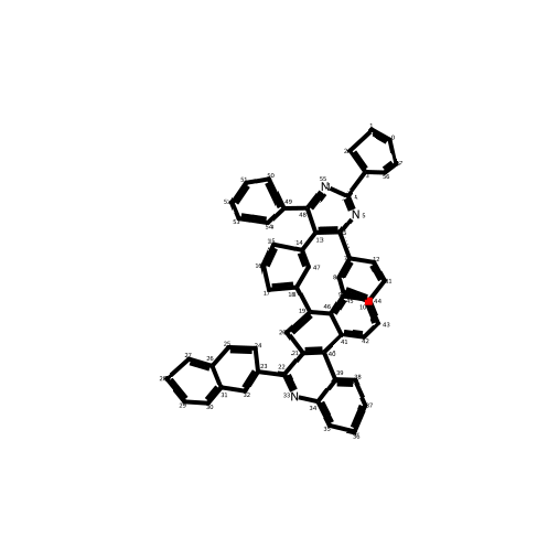 c1ccc(-c2nc(-c3ccccc3)c(-c3cccc(-c4cc5c(-c6ccc7ccccc7c6)nc6ccccc6c5c5ccccc45)c3)c(-c3ccccc3)n2)cc1